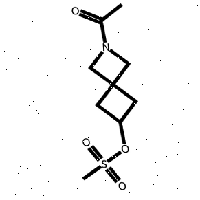 CC(=O)N1CC2(CC(OS(C)(=O)=O)C2)C1